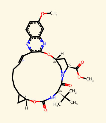 COC(=O)[C@@H]1C[C@@H]2CN1C(=O)[C@H](C(C)(C)C)NC(=O)O[C@@H]1CC1CCC/C=C/c1nc3ccc(OC)cc3nc1O2